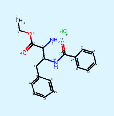 CCOC(=O)C(N)C(Cc1ccccc1)NC(=O)c1ccccc1.Cl